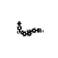 O=C(C1CCN(C2COC2)CC1)N1Cc2ccc(C3=NCCC(Nc4ccc(-c5cn[nH]c5)cc4)=N3)cc2C1